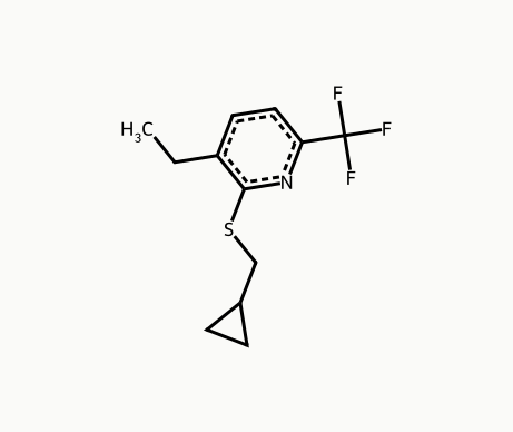 CCc1ccc(C(F)(F)F)nc1SCC1CC1